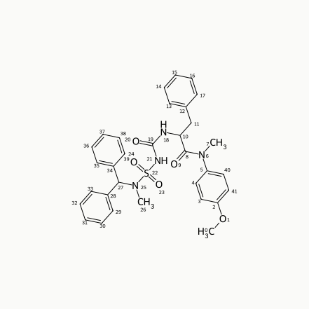 COc1ccc(N(C)C(=O)C(Cc2ccccc2)NC(=O)NS(=O)(=O)N(C)C(c2ccccc2)c2ccccc2)cc1